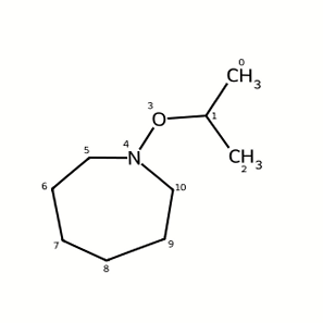 CC(C)ON1CCCCCC1